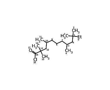 CCC(C)(C)CC(C)CCCC(C)CC(C)(C)C(=O)Cl